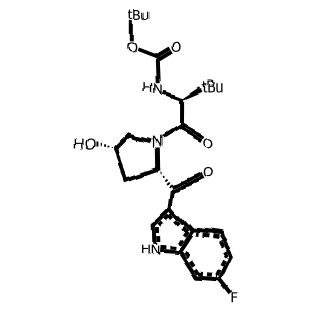 CC(C)(C)OC(=O)N[C@H](C(=O)N1C[C@@H](O)C[C@H]1C(=O)c1c[nH]c2cc(F)ccc12)C(C)(C)C